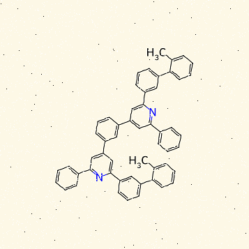 Cc1ccccc1-c1cccc(-c2cc(-c3cccc(-c4cc(-c5ccccc5)nc(-c5cccc(-c6ccccc6C)c5)c4)c3)cc(-c3ccccc3)n2)c1